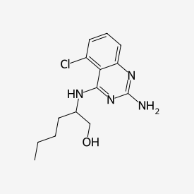 CCCCC(CO)Nc1nc(N)nc2cccc(Cl)c12